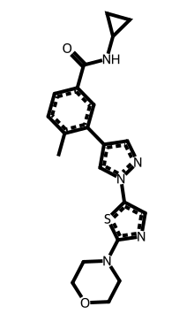 Cc1ccc(C(=O)NC2CC2)cc1-c1cnn(-c2cnc(N3CCOCC3)s2)c1